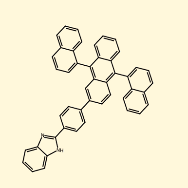 c1ccc2c(-c3c4ccccc4c(-c4cccc5ccccc45)c4cc(-c5ccc(-c6nc7ccccc7[nH]6)cc5)ccc34)cccc2c1